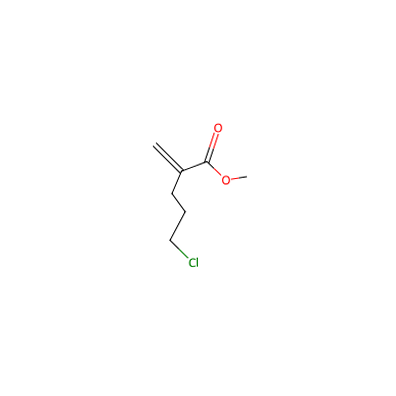 C=C(CCCCl)C(=O)OC